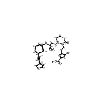 O=C(O)c1cc(Br)c(CCN2C(=O)SCCN2CC[C@@H](O)Cc2cccc(C#Cc3ccsc3)c2)s1